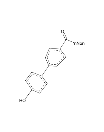 CCCCCCCCCC(=O)c1ccc(-c2ccc(O)cc2)cc1